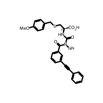 CCCN(C(=O)N[C@@H](CSCc1ccc(OC)cc1)C(=O)O)C(=O)c1cccc(C#Cc2ccccc2)c1